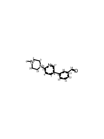 CN1CCN(c2ccc(-c3cccc(C=O)c3)cn2)CC1